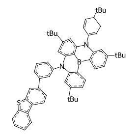 CC(C)(C)c1ccc2c(c1)N(C1=CCC(C(C)(C)C)C=C1)c1cc(C(C)(C)C)cc3c1B2c1ccc(C(C)(C)C)cc1N3c1cccc(-c2ccc3c(c2)sc2ccccc23)c1